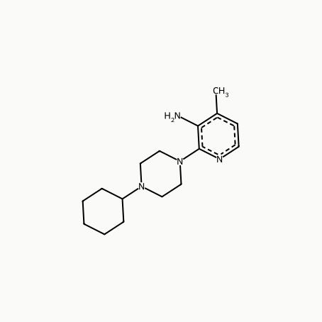 Cc1ccnc(N2CCN(C3CCCCC3)CC2)c1N